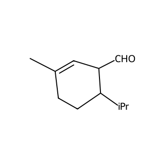 CC1=CC(C=O)C(C(C)C)CC1